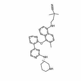 Cc1ccc2c(NCCC(C)(C)C#N)cccc2c1Oc1ncccc1-c1ccnc(N[C@H]2CCCNC2)n1